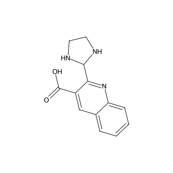 O=C(O)c1cc2ccccc2nc1C1NCCN1